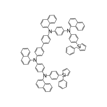 C1=C[Si](c2ccccc2)(c2ccc(N(c3ccc(N(c4ccc(-c5ccc(N(c6ccc(N(c7ccc([Si]8(c9ccccc9)C=CC=C8)cc7)c7cccc8ccccc78)cc6)c6cccc7ccccc67)cc5)cc4)c4cccc5ccccc45)cc3)c3cccc4ccccc34)cc2)C=C1